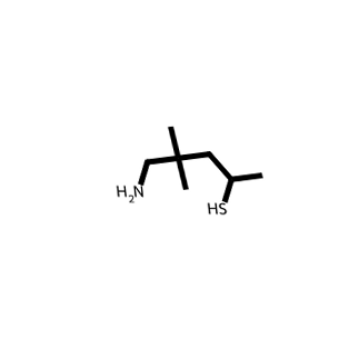 CC(S)CC(C)(C)CN